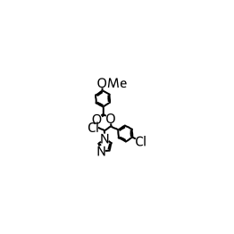 COc1ccc(C(=O)OC(c2ccc(Cl)cc2)C(Cl)n2ccnc2)cc1